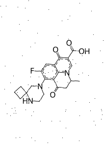 CC1CC(=O)c2c(N3CCNC4(CCC4)C3)c(F)cc3c(=O)c(C(=O)O)cn1c23